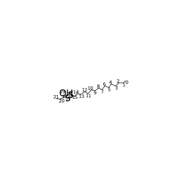 CCCCCCCCCCCCCCCCSSC(O)CC